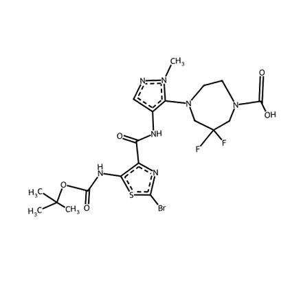 Cn1ncc(NC(=O)c2nc(Br)sc2NC(=O)OC(C)(C)C)c1N1CCN(C(=O)O)CC(F)(F)C1